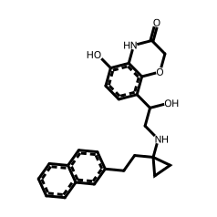 O=C1COc2c(C(O)CNC3(CCc4ccc5ccccc5c4)CC3)ccc(O)c2N1